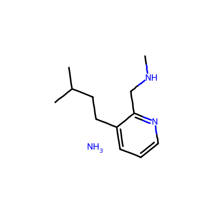 CNCc1ncccc1CCC(C)C.N